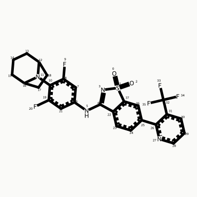 O=S1(=O)N=C(Nc2cc(F)c(N3C4CCCC3CC4)c(F)c2)c2ccc(-c3ncccc3C(F)(F)F)cc21